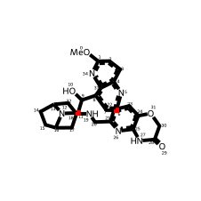 COc1ccc2nccc(C(O)CN3C4CCC3CC(NCc3ccc5c(n3)NC(=O)CO5)C4)c2n1